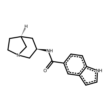 O=C(N[C@@H]1C[C@@H]2CCN(C2)C1)c1ccc2[nH]ccc2c1